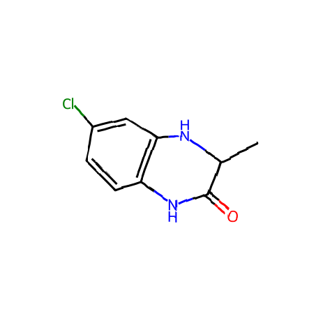 CC1Nc2cc(Cl)ccc2NC1=O